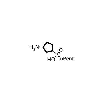 CCCCCP(=O)(O)[C@@H]1CC[C@H](N)C1